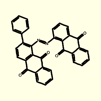 O=C1c2ccccc2C(=O)c2c(N=Nc3c(-c4ccccc4)ccc4c3C(=O)c3ccccc3C4=O)cccc21